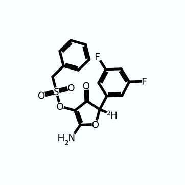 [2H]C1(c2cc(F)cc(F)c2)OC(N)=C(OS(=O)(=O)Cc2ccccc2)C1=O